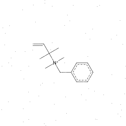 C=CC(C)(C)[N+](C)(C)Cc1ccccc1